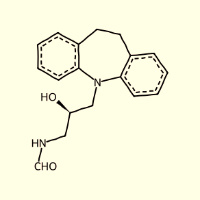 O=CNC[C@@H](O)CN1c2ccccc2CCc2ccccc21